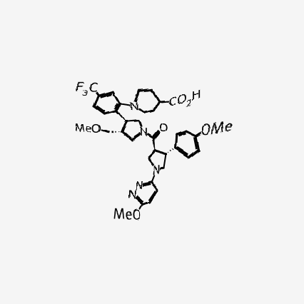 COC[C@H]1CN(C(=O)[C@@H]2CN(c3ccc(OC)nn3)C[C@H]2c2ccc(OC)cc2)C[C@@H]1c1ccc(C(F)(F)F)cc1N1CCC(C(=O)O)CC1